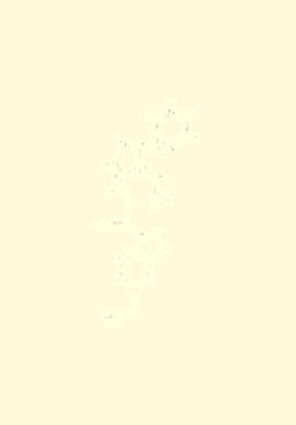 CCc1ccc2c(c1)CCC2C(=O)CSc1nnc(-c2cccnc2)n1CC